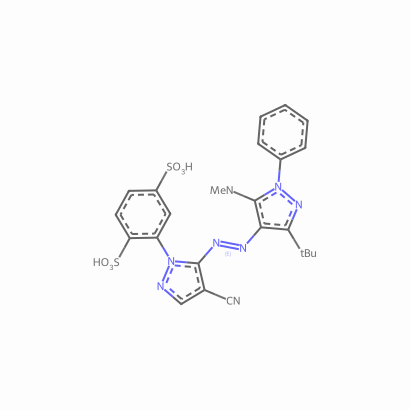 CNc1c(/N=N/c2c(C#N)cnn2-c2cc(S(=O)(=O)O)ccc2S(=O)(=O)O)c(C(C)(C)C)nn1-c1ccccc1